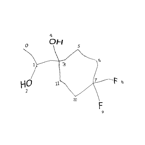 C[C](O)C1(O)CCC(F)(F)CC1